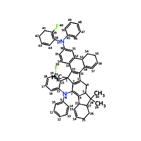 CC12C3=C(CC4C(=C3N(c3ccccc3)c3cccc(F)c31)C1C=CCCC1C4(C)C)C1=C2c2ccc(N(C3=C(F)CCC=C3)c3ccccc3)cc2C2CCC=C=C12